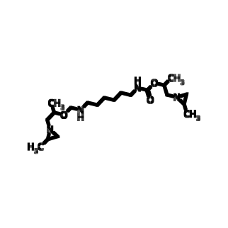 CC(CN1CC1C)OCNCCCCCCNC(=O)OC(C)CN1CC1C